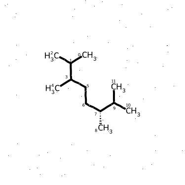 CC(C)C(C)CC[C@@H](C)C(C)C